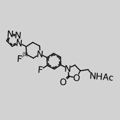 CC(=O)NCC1CN(c2ccc(N3CCC(n4ccnn4)[C@@H](F)C3)c(F)c2)C(=O)O1